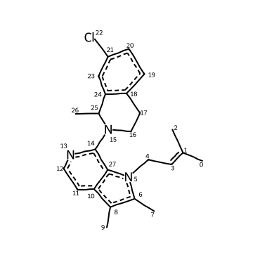 CC(C)=CCn1c(C)c(C)c2ccnc(N3CCc4ccc(Cl)cc4C3C)c21